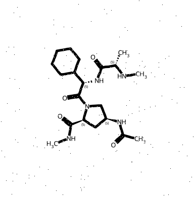 CNC(=O)[C@@H]1C[C@H](NC(C)=O)CN1C(=O)[C@@H](NC(=O)[C@H](C)NC)C1CCCCC1